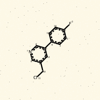 Fc1ccc(-c2cncc(CCl)c2)cc1